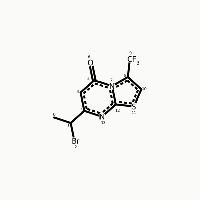 CC(Br)c1cc(=O)n2c(C(F)(F)F)csc2n1